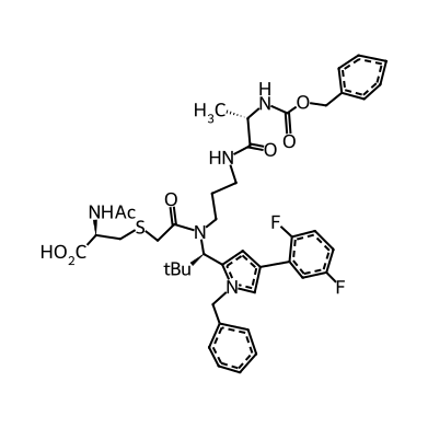 CC(=O)N[C@@H](CSCC(=O)N(CCCNC(=O)[C@H](C)NC(=O)OCc1ccccc1)[C@@H](c1cc(-c2cc(F)ccc2F)cn1Cc1ccccc1)C(C)(C)C)C(=O)O